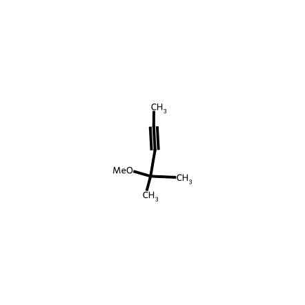 [CH2]OC(C)(C)C#CC